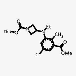 CCN(c1cc(Cl)cc(C(=O)OC)c1C)C1CN(C(=O)OC(C)(C)C)C1